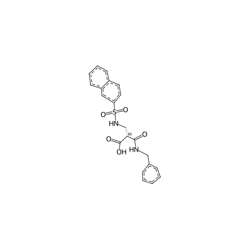 O=C(O)[C@H](CNS(=O)(=O)c1ccc2ccccc2c1)C(=O)NCc1ccccc1